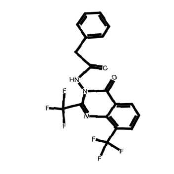 O=C(Cc1ccccc1)Nn1c(C(F)(F)F)nc2c(C(F)(F)F)cccc2c1=O